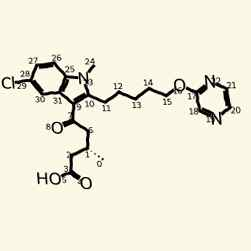 C[C@H](CC(=O)O)CC(=O)c1c(CCCCCOc2cnccn2)n(C)c2ccc(Cl)cc12